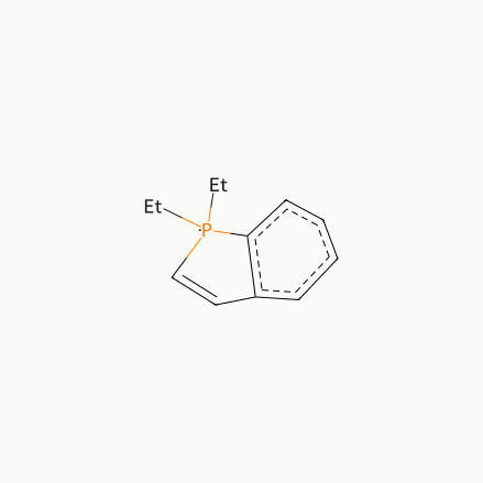 CC[P]1(CC)C=Cc2ccccc21